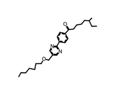 CCCCCCCOCc1cnc(-c2ccc(C(=O)CCCCC(C)CC)cc2)nc1